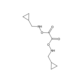 O=C(ONCC1CC1)C(=O)ONCC1CC1